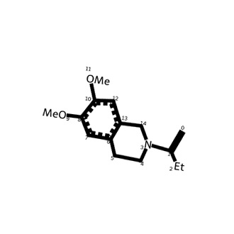 C=C(CC)N1CCc2cc(OC)c(OC)cc2C1